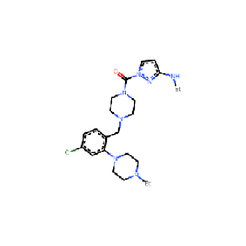 CCNc1ccn(C(=O)N2CCN(Cc3ccc(Cl)cc3N3CCN(CC)CC3)CC2)n1